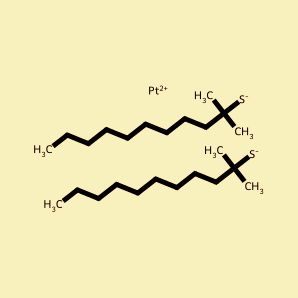 CCCCCCCCCC(C)(C)[S-].CCCCCCCCCC(C)(C)[S-].[Pt+2]